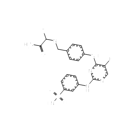 CCC(NCc1ccc(Nc2nc(Nc3cccc(S(N)(=O)=O)c3)ncc2F)cc1)C(N)=O